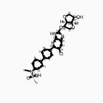 CN(c1ccc(-c2ccc(-c3nc4[nH]c(O[C@@H]5CO[C@H]6[C@@H]5OC[C@H]6O)nc4cc3Cl)cc2)cc1)[S@@](C)(=N)=O